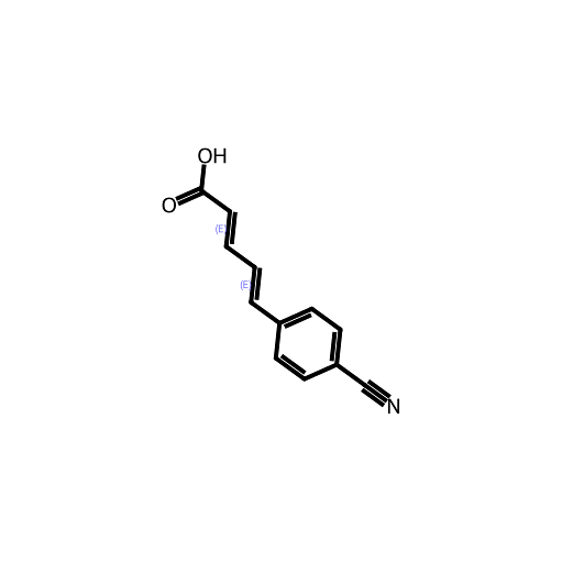 N#Cc1ccc(/C=C/C=C/C(=O)O)cc1